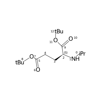 CC(C)N[C@@H](CCC(=O)OC(C)(C)C)C(=O)OC(C)(C)C